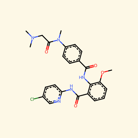 COc1cccc(C(=O)Nc2ccc(Cl)cn2)c1NC(=O)c1ccc(N(C)C(=O)CN(C)C)cc1